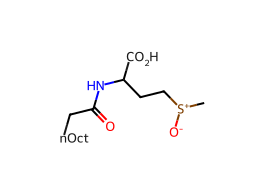 CCCCCCCCCC(=O)NC(CC[S+](C)[O-])C(=O)O